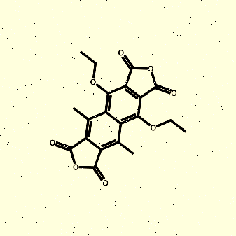 CCOc1c2c(C)c3c(=O)oc(=O)c3c(C)c2c(OCC)c2c(=O)oc(=O)c12